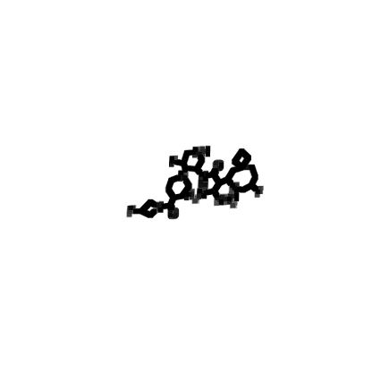 NC(N)C(C(=O)NC1CNCC(F)C1N1CCC(C(=O)N2CC(F)C2)CC1)C1CC2(CCC2)CCC(F)CN1